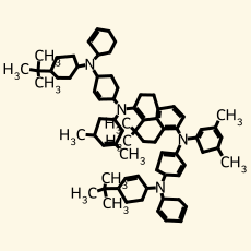 CC1=CC(C)CC(N(C2=CCC(N(C3C=CC=CC3)C3C=CC(C(C)(C)C)CC3)C=C2)c2ccc3c4c2CCC(C)(C)C4=C(N(C2C=CC(N(C4C=CCCC4)C4CCC(C(C)(C)C)CC4)CC2)C2CC(C)=CC(C)C2)CC3)=C1